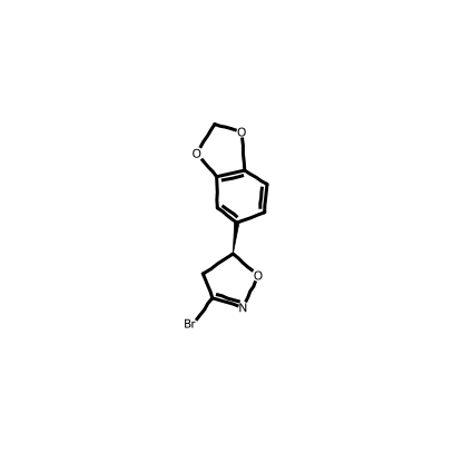 BrC1=NO[C@H](c2ccc3c(c2)OCO3)C1